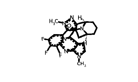 Cn1nc2c(c1-c1cc(F)c(F)c(F)c1)C[C@@H]1CCC[C@H]2N1C(=O)c1ncnc2c1ccn2C